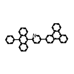 c1ccc(-c2c3ccccc3c(-c3ccc(-c4ccc5c6ccccc6c6ccccc6c5c4)cn3)c3ccccc23)cc1